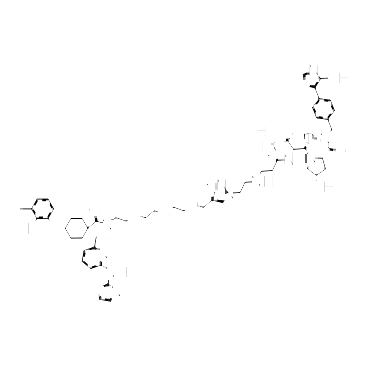 Cc1ncsc1-c1ccc(CNC(=O)[C@@H]2C[C@@H](O)CN2C(=O)[C@@H](NC(=O)CCNCCn2cc(COCCOCCOCCNC(=O)[C@]3(Cc4cccc(Nc5nccs5)n4)CC[C@@H](Oc4cccc(Cl)c4F)CC3)nn2)C(C)(C)C)cc1